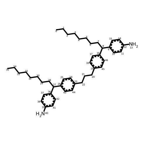 CCCCCCCCC(c1ccc(N)cc1)c1ccc(CCCc2ccc(C(CCCCCCCC)c3ccc(N)cc3)cc2)cc1